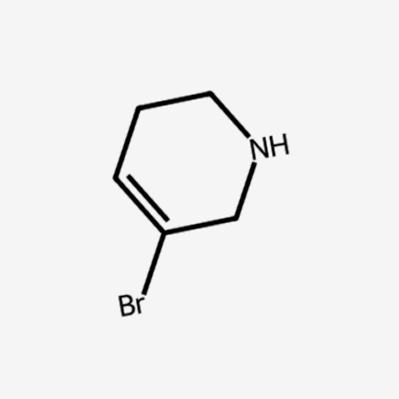 BrC1=CCCNC1